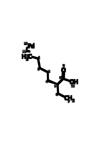 CCCCC[C@H](CC)C(=O)O.[C].[Pd]